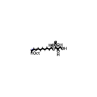 CCCCCCCC/C=C\CCCCCCCCOC([C@@H](O)CO)P(=O)(O)O